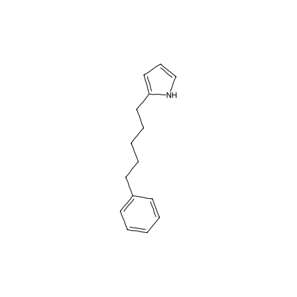 c1ccc(CCCCCc2ccc[nH]2)cc1